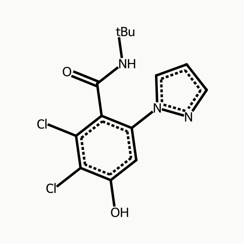 CC(C)(C)NC(=O)c1c(-n2cccn2)cc(O)c(Cl)c1Cl